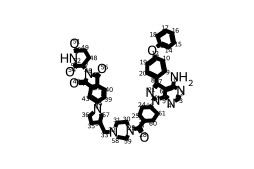 Nc1ncnc2c1c(-c1ccc(Oc3ccccc3)cc1)nn2C1CCC(C(=O)N2CCN(CC3CCN(c4ccc5c(c4)C(=O)N(C4CCC(=O)NC4=O)C5=O)C3)CC2)CC1